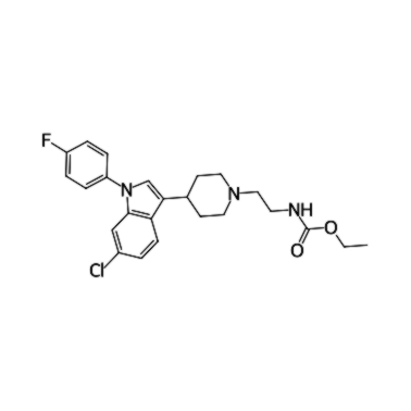 CCOC(=O)NCCN1CCC(c2cn(-c3ccc(F)cc3)c3cc(Cl)ccc23)CC1